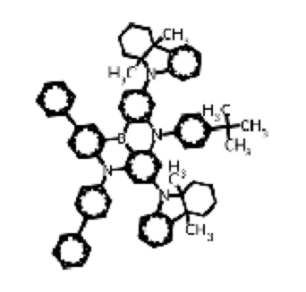 CC(C)(C)c1ccc(N2c3cc(N4c5ccccc5C5(C)CCCCC45C)ccc3B3c4cc(-c5ccccc5)ccc4N(c4ccc(-c5ccccc5)cc4)c4cc(N5c6ccccc6C6(C)CCCCC56C)cc2c43)cc1